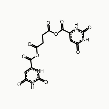 O=C(CCC(=O)OC(=O)c1cc(=O)[nH]c(=O)[nH]1)OC(=O)c1cc(=O)[nH]c(=O)[nH]1